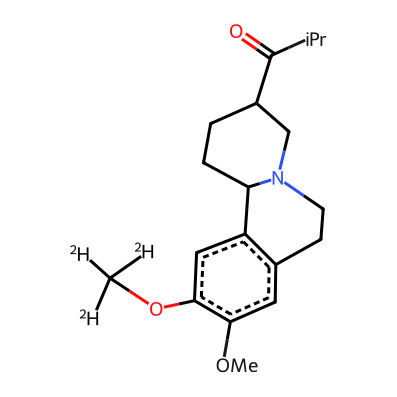 [2H]C([2H])([2H])Oc1cc2c(cc1OC)CCN1CC(C(=O)C(C)C)CCC21